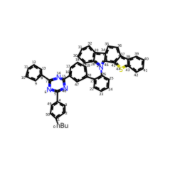 CCCCc1ccc(-c2nc(-c3ccccc3)nc(-c3cccc(-c4ccccc4-n4c5ccccc5c5ccc6c7ccccc7sc6c54)c3)n2)cc1